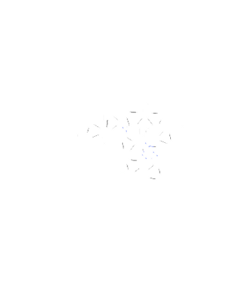 Cc1cc(C)c(-c2ccc3c4ccc(-c5c(C)cc(C)cc5C)cc4n(-c4ccc(-c5cccc(F)c5)c(-c5nc(-c6ccccc6)nc(-c6ccccc6)n5)c4)c3c2)c(C)c1